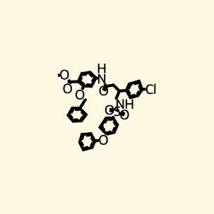 COC(=O)c1ccc(NC(=O)CC(CNS(=O)(=O)c2ccc(Oc3ccccc3)cc2)c2ccc(Cl)cc2)cc1OCc1ccccc1